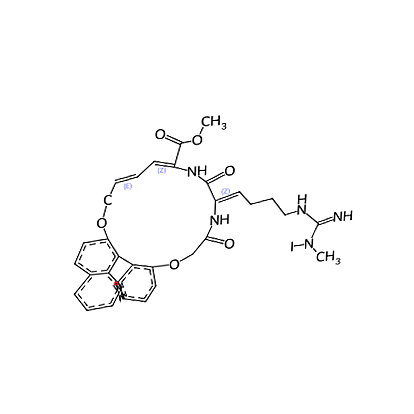 COC(=O)/C1=C/C=C/COc2ccc3ccccc3c2-c2c(ccc3ccccc23)OCC(=O)N/C(=C\CCCNC(=N)N(C)I)C(=O)N1